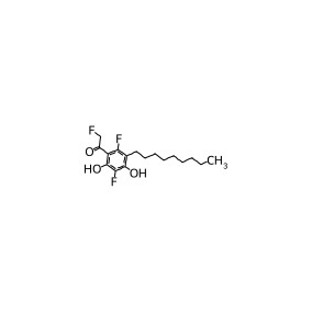 CCCCCCCCCc1c(O)c(F)c(O)c(C(=O)CF)c1F